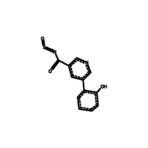 O=S=NC(=O)c1cncc(-c2ccccc2O)c1